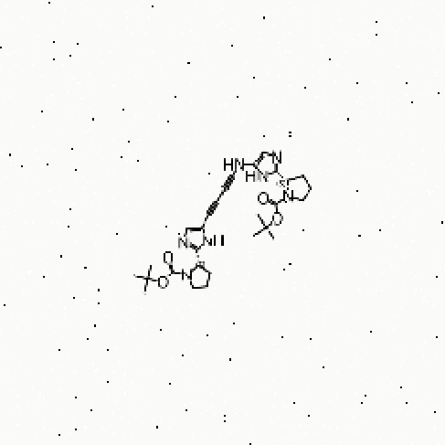 CC(C)(C)OC(=O)N1CCC[C@H]1c1ncc(C#CC#CNc2cnc([C@@H]3CCCN3C(=O)OC(C)(C)C)[nH]2)[nH]1